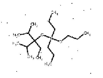 CCCO[Si](CCC)(CCC)OC(CC)(C(C)C)C(C)C